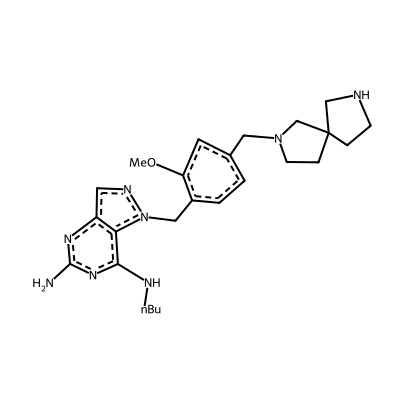 CCCCNc1nc(N)nc2cnn(Cc3ccc(CN4CCC5(CCNC5)C4)cc3OC)c12